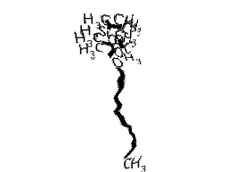 CCCCCCCCCCCCCCCCOCC(OC(C)=O)C(O[SiH2]C(C)C(C)(C)C)C(C)C